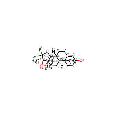 C[C@]12CCC(=O)C=C1CC[C@@H]1[C@@H]2CC[C@@]2(C)[C@H]1CC(F)(F)[C@]2(C)O